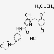 Cc1cc(C(=O)Nc2ccc(CN3CCOCC3)cc2)nn1Cc1cc(Cl)ccc1OCC(C)C.Cl